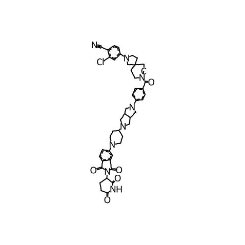 N#Cc1ccc(N2CCC3(CCN(C(=O)c4ccc(N5CC6CN(C7CCN(c8ccc9c(c8)C(=O)N(C8CCC(=O)NC8=O)C9=O)CC7)CC6C5)cc4)CC3)C2)cc1Cl